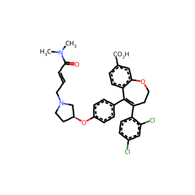 CN(C)C(=O)/C=C/CN1CC[C@H](Oc2ccc(C3=C(c4ccc(Cl)cc4Cl)CCOc4cc(C(=O)O)ccc43)cc2)C1